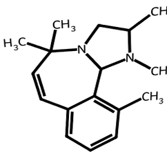 Cc1cccc2c1C1N(C)C(C)CN1C(C)(C)C=C2